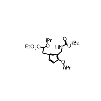 CCCOc1ccc(CC(OC(C)C)C(=O)OCC)cc1CNC(=O)OC(C)(C)C